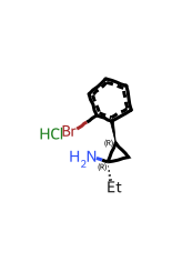 CC[C@@]1(N)C[C@@H]1c1ccccc1Br.Cl